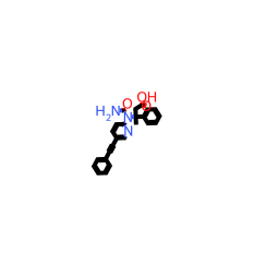 CC(CC(=O)O)(c1ccccc1)N(C(N)=O)c1ccc(C#Cc2ccccc2)cn1